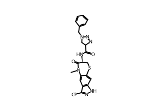 CN1C(=O)[C@@H](NC(=O)C2CN(Cc3ccccc3)N=N2)CSc2cc3[nH]nc(Cl)c3cc21